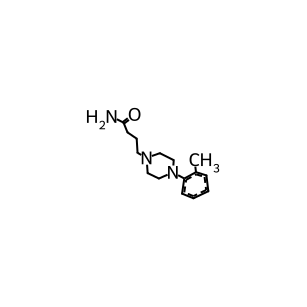 Cc1ccccc1N1CCN(CCCC(N)=O)CC1